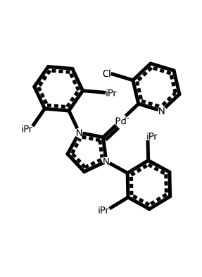 CC(C)c1cccc(C(C)C)c1-n1ccn(-c2c(C(C)C)cccc2C(C)C)[c]1=[Pd-][c]1ncccc1Cl